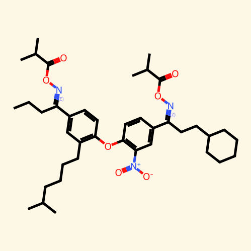 CCC/C(=N\OC(=O)C(C)C)c1ccc(Oc2ccc(/C(CCC3CCCCC3)=N\OC(=O)C(C)C)cc2[N+](=O)[O-])c(CCCCC(C)C)c1